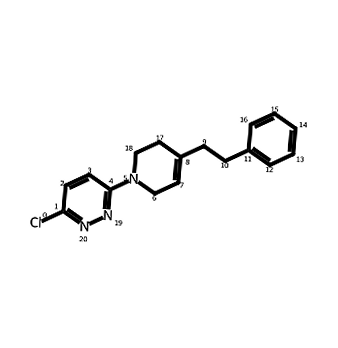 Clc1ccc(N2CC=C(CCc3ccccc3)CC2)nn1